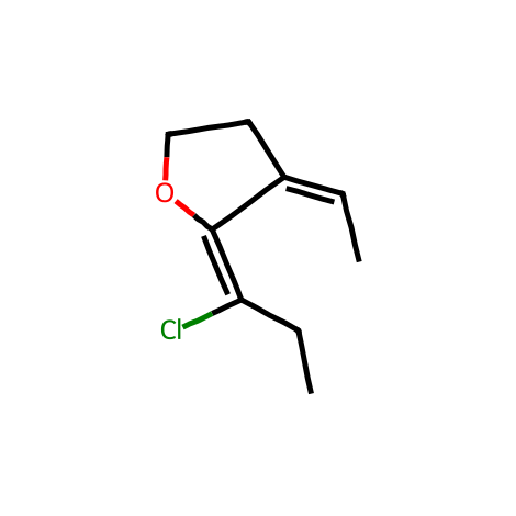 C/C=C1/CCO/C1=C(\Cl)CC